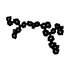 c1cc(-c2cc(-c3ccc4c(c3)oc3cc(-c5ccc(N(c6cccc(-c7cccc8ccccc78)c6)c6ccc7c(c6)oc6ccccc67)cc5)ccc34)cc3ccccc23)cc(N(c2ccc(-c3ccc4c(c3)oc3ccccc34)cc2)c2ccc(-c3cccc4sc5ccccc5c34)cc2)c1